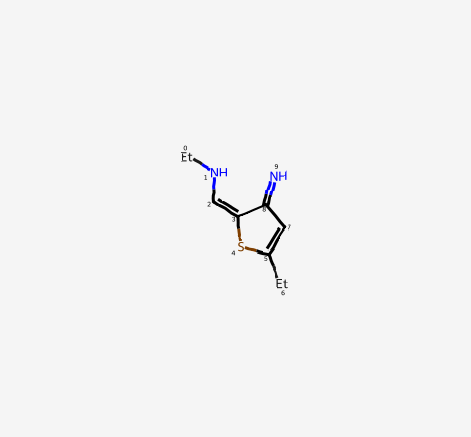 CCN/C=C1/SC(CC)=CC1=N